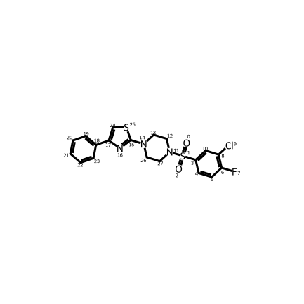 O=S(=O)(c1ccc(F)c(Cl)c1)N1CCN(c2nc(-c3ccccc3)cs2)CC1